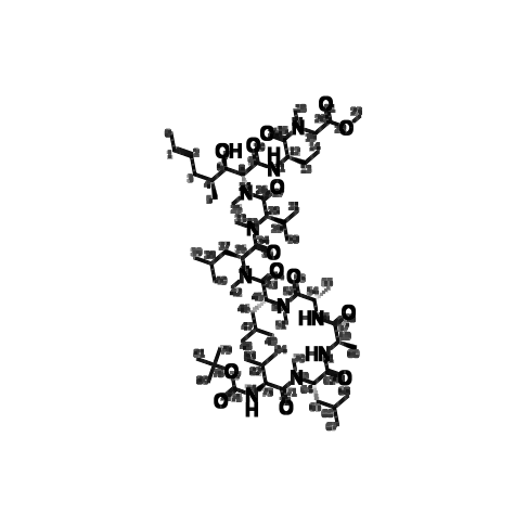 C/C=C/C[C@H](C)[C@@H](O)[C@H](C(=O)N[C@H](CC)C(=O)N(C)CC(=O)OC)N(C)C(=O)[C@@H](C(C)C)N(C)C(=O)[C@H](CC(C)C)N(C)C(=O)[C@@H](CC(C)C)N(C)C(=O)[C@H](C)NC(=O)[C@@H](C)NC(=O)[C@H](CC(C)C)N(C)C(=O)[C@@H](NC(=O)OC(C)(C)C)C(C)C